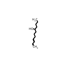 C=CC=CCCCC(O)CCCC